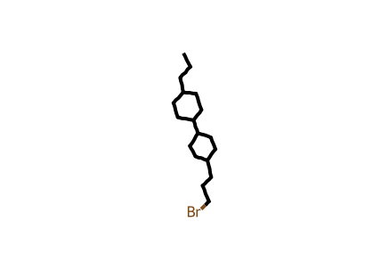 CCCC1CCC(C2CCC(CCCBr)CC2)CC1